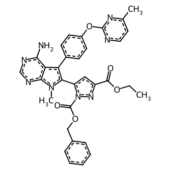 CCOC(=O)c1cc(-c2c(-c3ccc(Oc4nccc(C)n4)cc3)c3c(N)ncnc3n2C)n(C(=O)OCc2ccccc2)n1